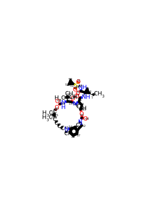 CC[C@H]1C[C@@]1(NC(=O)C1C[C@@H]2CN1C(=O)[C@H](C(C)(C)C)NC(=O)OCC(C)(C)CCCCN(C)c1cccc3c1CN(C3)C(=O)O2)C(=O)NS(=O)(=O)C1CC1